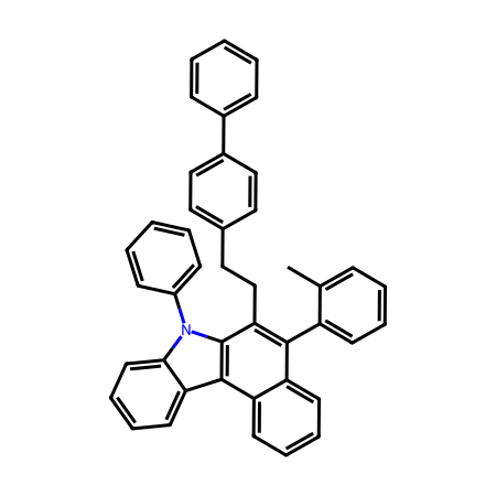 Cc1ccccc1-c1c(CCc2ccc(-c3ccccc3)cc2)c2c(c3ccccc13)c1ccccc1n2-c1ccccc1